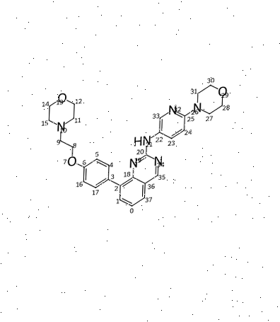 c1cc(-c2ccc(OCCN3CCOCC3)cc2)c2nc(Nc3ccc(N4CCOCC4)nc3)ncc2c1